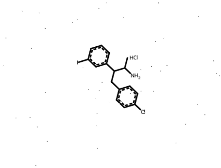 CC(N)C(Cc1ccc(Cl)cc1)c1cccc(I)c1.Cl